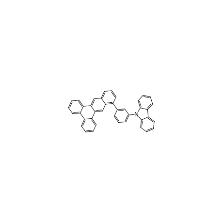 c1cc(-c2cccc3cc4c5ccccc5c5ccccc5c4cc23)cc(-n2c3ccccc3c3ccccc32)c1